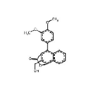 COc1ccc(-c2c3c(CO)c(c4ccccc24)OC3=O)cc1OC